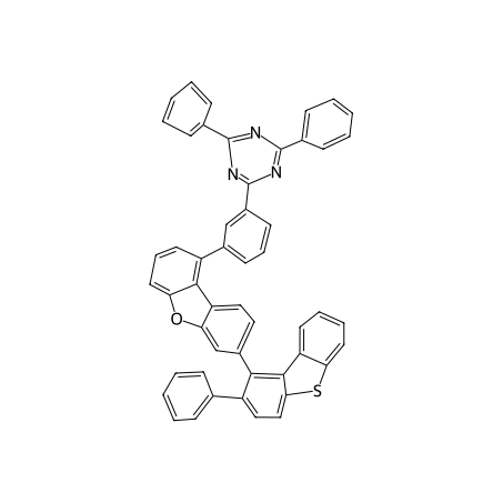 c1ccc(-c2nc(-c3ccccc3)nc(-c3cccc(-c4cccc5oc6cc(-c7c(-c8ccccc8)ccc8sc9ccccc9c78)ccc6c45)c3)n2)cc1